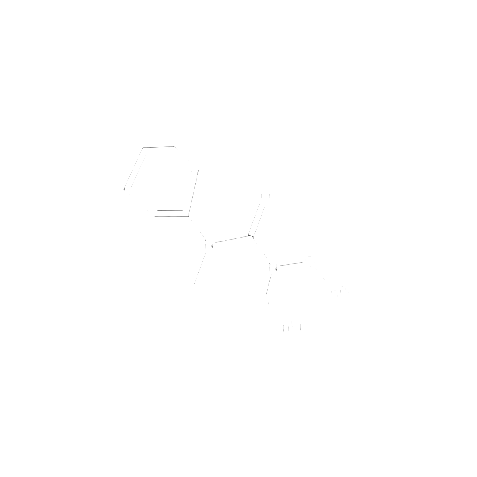 CCCON(OCCC)C(=O)N(C)c1ccccc1